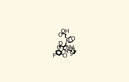 COC(=O)C1=C(CN2CCOC[C@@H]2CCC(=O)O)NC(c2nccs2)=N[C@H]1c1ccc(F)cc1Cl